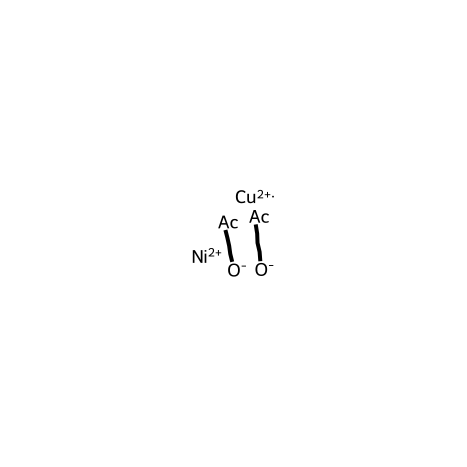 CC(=O)[O-].CC(=O)[O-].[Cu+2].[Ni+2]